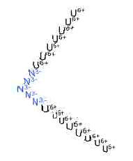 [N-3].[N-3].[N-3].[N-3].[N-3].[U+6].[U+6].[U+6].[U+6].[U+6].[U+6].[U+6].[U+6].[U+6].[U+6].[U+6].[U+6].[U+6].[U+6].[U+6]